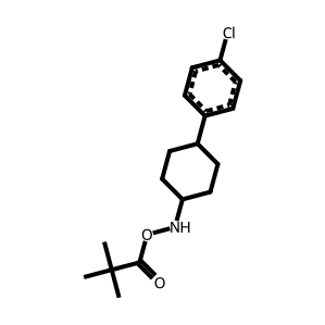 CC(C)(C)C(=O)ONC1CCC(c2ccc(Cl)cc2)CC1